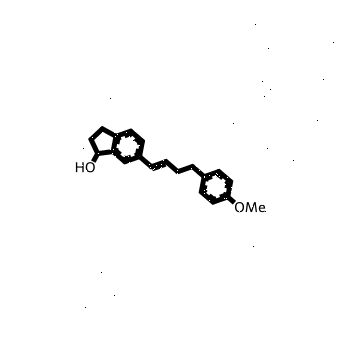 COc1ccc(CC/C=C/c2ccc3c(c2)C(O)CC3)cc1